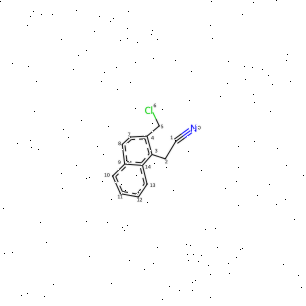 N#CCc1c(CCl)ccc2ccccc12